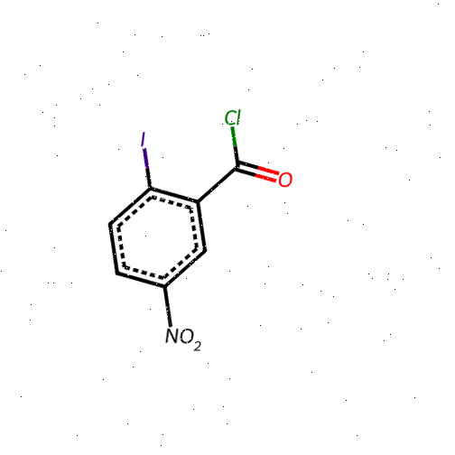 O=C(Cl)c1cc([N+](=O)[O-])ccc1I